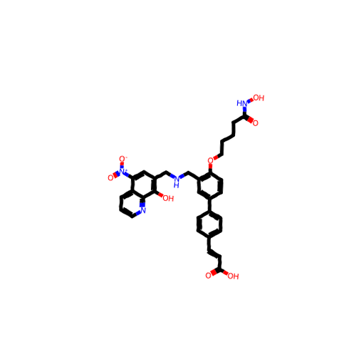 O=C(O)/C=C/c1ccc(-c2ccc(OCCCCC(=O)NO)c(CNCc3cc([N+](=O)[O-])c4cccnc4c3O)c2)cc1